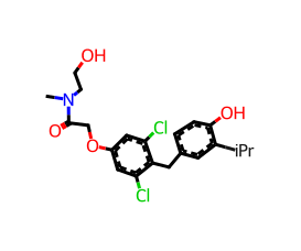 CC(C)c1cc(Cc2c(Cl)cc(OCC(=O)N(C)CCO)cc2Cl)ccc1O